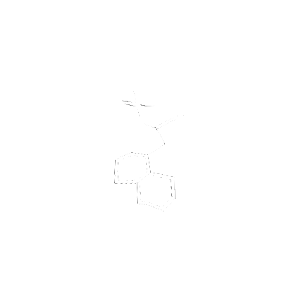 O=C(Cc1cccc2ccccc12)OP(=O)(O)O